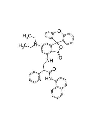 CCN(CC)c1cc(NCC(C(=O)Nc2cccc3ccccc23)c2ccccn2)c2c(c1)C1(OC2=O)c2ccccc2Oc2ccccc21